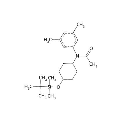 CC(=O)N(c1cc(C)cc(C)c1)C1CCC(O[Si](C)(C)C(C)(C)C)CC1